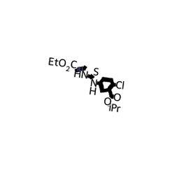 CCOC(=O)/C=C(\C)NC(=S)Nc1ccc(Cl)c(C(=O)OC(C)C)c1